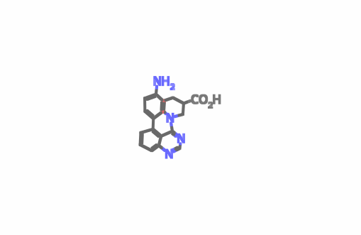 Nc1ccc(-c2cccc3ncnc(N4CCCC(C(=O)O)C4)c23)cc1